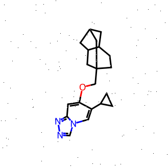 c1c(OCC23CCC4CC(CC4C2)C3)c(C2CC2)cn2cnnc12